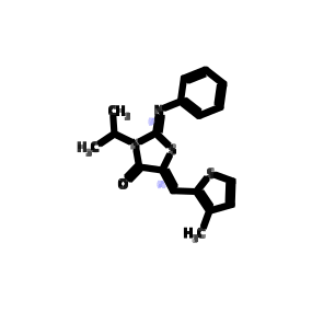 Cc1ccsc1/C=C1\S/C(=N\c2ccccc2)N(C(C)C)C1=O